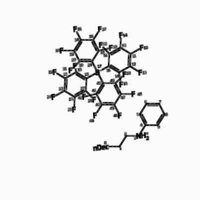 CCCCCCCCCCCC[NH2+]c1ccccc1.Fc1c(F)c(F)c([B-](c2c(F)c(F)c(F)c(F)c2F)(c2c(F)c(F)c(F)c(F)c2F)c2c(F)c(F)c(F)c(F)c2F)c(F)c1F